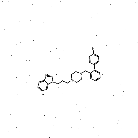 Fc1ccc(-c2ccccc2CN2CCN(CCCn3cnc4ccccc43)CC2)cc1